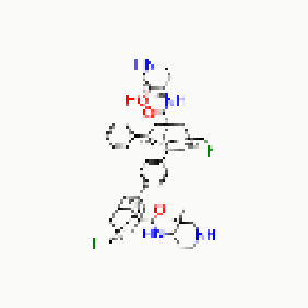 CC1(C)CNCCC1NC(=O)C12CC3C[C@@](CF)(C1)C[C@](c1ccc(C45CC6(C(=O)N[C@@H]7CCNC[C@H]7O)C[C@](CF)(C4)C[C@@](c4ccccc4)(C6)C5)cc1)(C3)C2